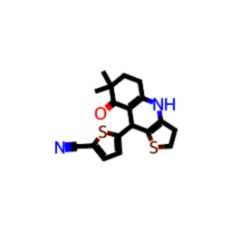 CC1(C)CCC2=C(C1=O)C(c1ccc(C#N)s1)C1=C(CCS1)N2